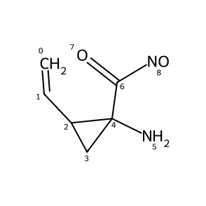 C=CC1CC1(N)C(=O)N=O